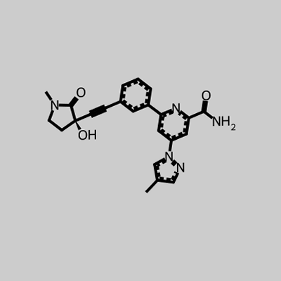 Cc1cnn(-c2cc(C(N)=O)nc(-c3cccc(C#C[C@]4(O)CCN(C)C4=O)c3)c2)c1